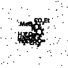 CCOC(=O)c1cc2ccc(C3CCC3)c(B3OC(C)(C)C(C)(C)O3)c2nc1OC